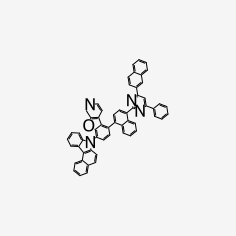 c1ccc(-c2cc(-c3ccc4ccccc4c3)nc(-c3ccc(-c4ccc(-n5c6ccccc6c6c7ccccc7ccc65)c5oc6cnccc6c45)c4ccccc34)n2)cc1